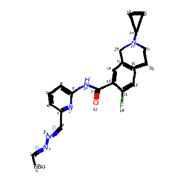 CCCC/C=N/N=C/c1cccc(NC(=O)c2cc3c(cc2F)CCN(C2CC2)C3)n1